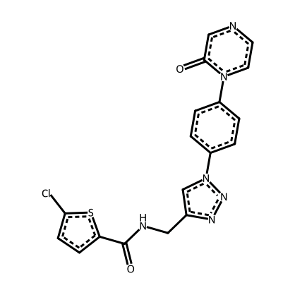 O=C(NCc1cn(-c2ccc(-n3ccncc3=O)cc2)nn1)c1ccc(Cl)s1